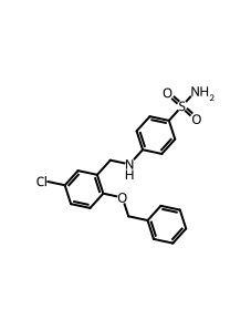 NS(=O)(=O)c1ccc(NCc2cc(Cl)ccc2OCc2ccccc2)cc1